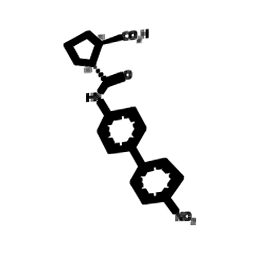 O=C(O)[C@@H]1CCC[C@H]1C(=O)Nc1ccc(-c2ccc([N+](=O)[O-])cc2)cc1